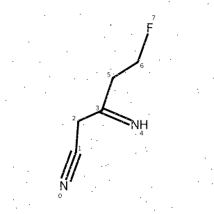 N#CCC(=N)CCF